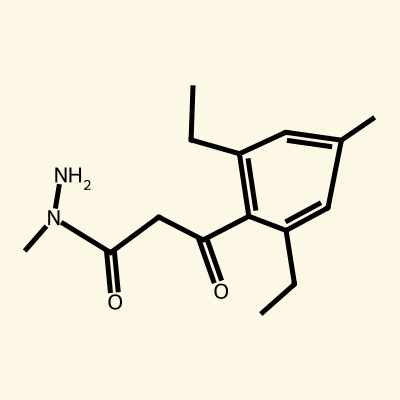 CCc1cc(C)cc(CC)c1C(=O)CC(=O)N(C)N